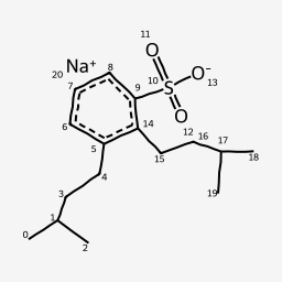 CC(C)CCc1cccc(S(=O)(=O)[O-])c1CCC(C)C.[Na+]